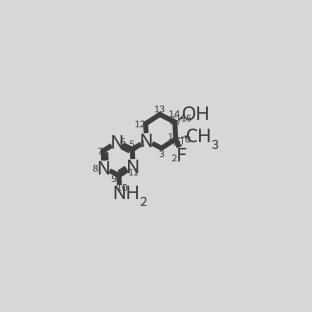 C[C@]1(F)CN(c2ncnc(N)n2)CC[C@@H]1O